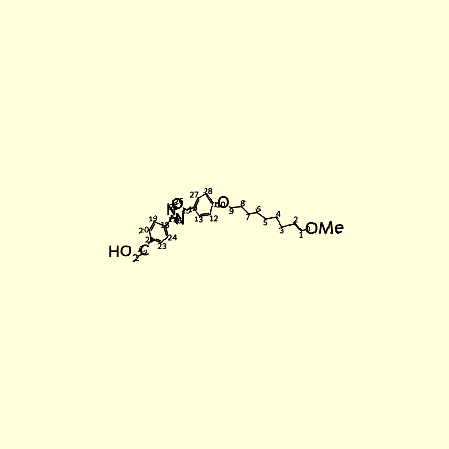 COCCCCCCCCCOc1ccc(-c2nc(-c3ccc(C(=O)O)cc3)no2)cc1